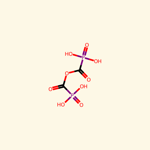 O=C(OC(=O)P(=O)(O)O)P(=O)(O)O